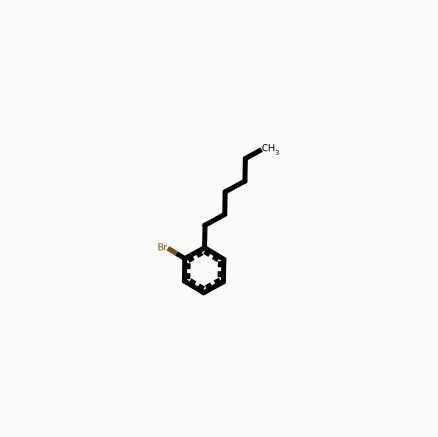 CCCCC[CH]c1ccccc1Br